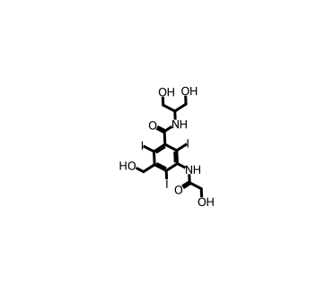 O=C(CO)Nc1c(I)c(CO)c(I)c(C(=O)NC(CO)CO)c1I